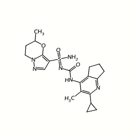 Cc1c(C2CC2)nc2c(c1NC(=O)N=S(N)(=O)c1cnn3c1OC(C)CC3)CCC2